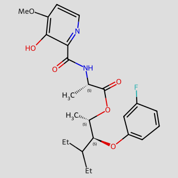 CCC(CC)[C@H](Oc1cccc(F)c1)[C@H](C)OC(=O)[C@H](C)NC(=O)c1nccc(OC)c1O